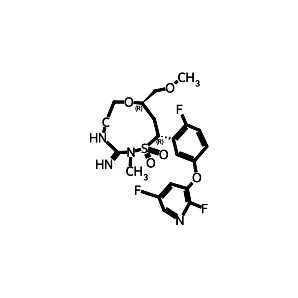 COC[C@H]1C[C@H](c2cc(Oc3cc(F)cnc3F)ccc2F)S(=O)(=O)N(C)C(=N)NCCO1